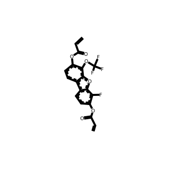 C=CC(=O)Oc1ccc2c(oc3c(OC(F)(F)F)c(OC(=O)C=C)ccc32)c1F